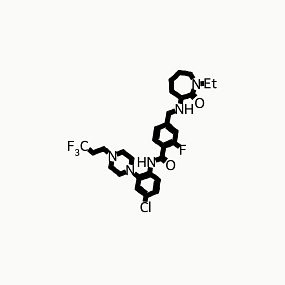 CCN1CCCCC(NCc2ccc(C(=O)Nc3ccc(Cl)cc3N3CCN(CCC(F)(F)F)CC3)c(F)c2)C1=O